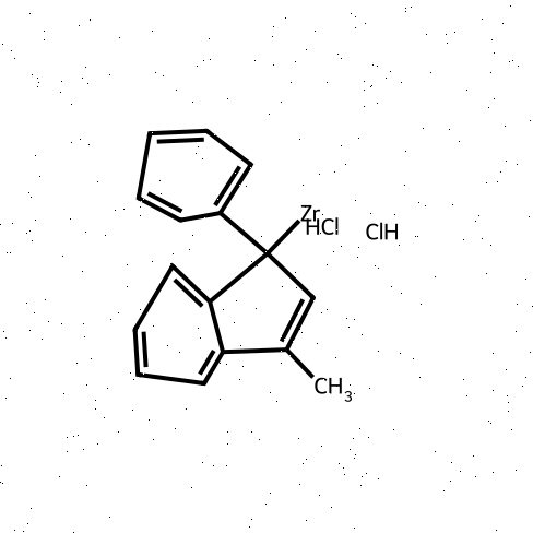 CC1=C[C]([Zr])(c2ccccc2)c2ccccc21.Cl.Cl